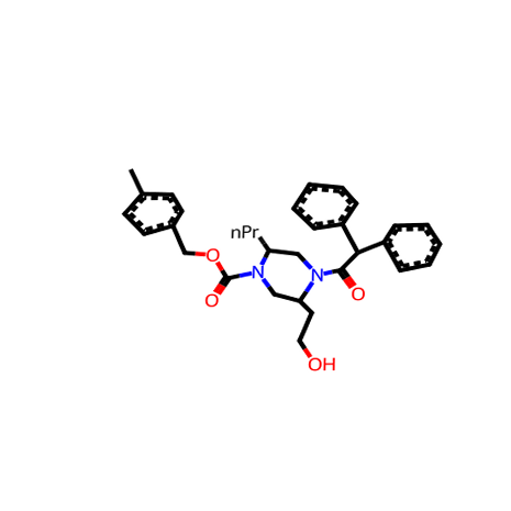 CCCC1CN(C(=O)C(c2ccccc2)c2ccccc2)C(CCO)CN1C(=O)OCc1ccc(C)cc1